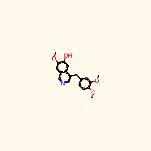 COc1cc2cncc(Cc3ccc(OC)c(OC)c3)c2cc1O